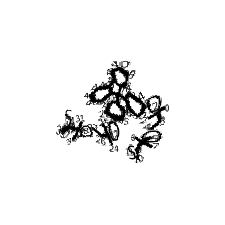 CC(C)(CCOC(C)(C)C1CS1)Oc1ccc(C2(c3ccc(OC(C)(C)CCOC(C)(C)C4CS4)cc3)c3ccccc3-c3ccccc32)cc1